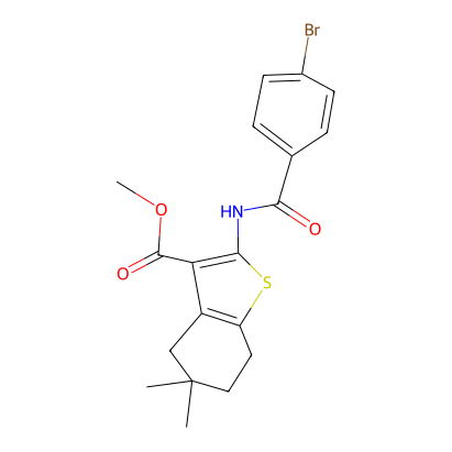 COC(=O)c1c(NC(=O)c2ccc(Br)cc2)sc2c1CC(C)(C)CC2